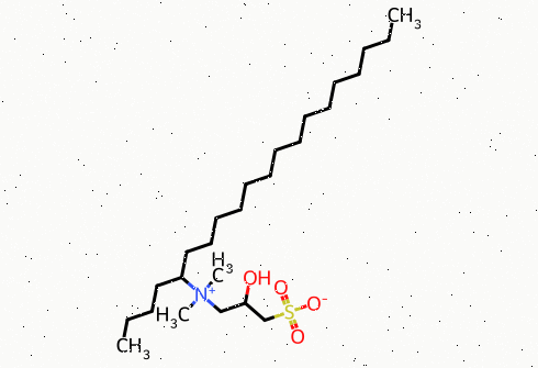 CCCCCCCCCCCCCCCC(CCCC)[N+](C)(C)CC(O)CS(=O)(=O)[O-]